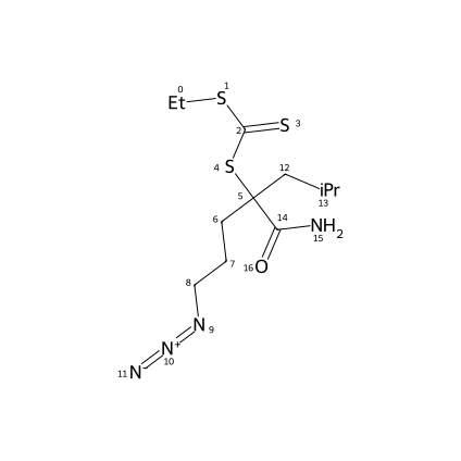 CCSC(=S)SC(CCCN=[N+]=[N-])(CC(C)C)C(N)=O